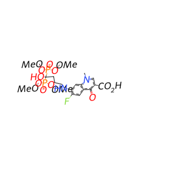 COOP(=O)(OOC)C(O)(CCCNc1cc2c(cc1F)c(=O)c(C(=O)O)cn2C)P(=O)(OOC)OOC